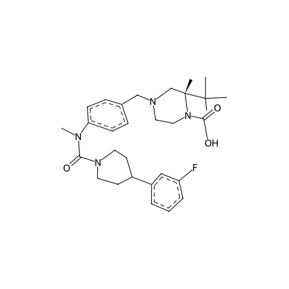 CN(C(=O)N1CCC(c2cccc(F)c2)CC1)c1ccc(CN2CCN(C(=O)O)[C@@](C)(C(C)(C)C)C2)cc1